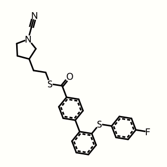 N#CN1CCC(CCSC(=O)c2ccc(-c3ccccc3Sc3ccc(F)cc3)cc2)C1